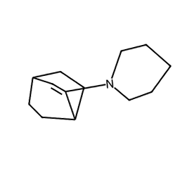 C1=C(N2CCCCC2)C2CCC1CC2